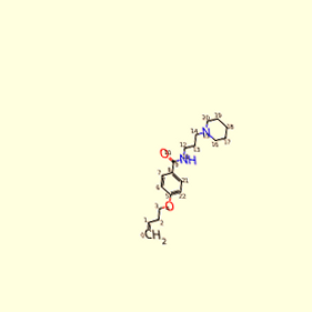 C=CCCOc1ccc(C(=O)NCCCN2CCCCC2)cc1